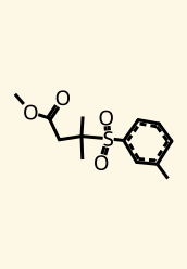 COC(=O)CC(C)(C)S(=O)(=O)c1cccc(C)c1